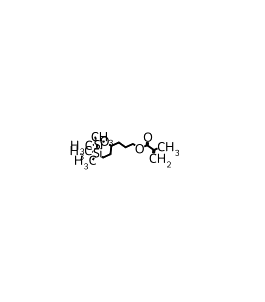 C=C(C)C(=O)OCCCC1CC[Si](C)(C)[Si](C)(C)O1